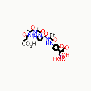 CC[C@H](NC(=O)[C@H]1CCCN1C(=O)[C@H](C)NC(=O)[C@H](C)NC(=O)CCC(=O)O)C(=O)Nc1ccc2c(CP(=O)(O)O)cc(=O)oc2c1